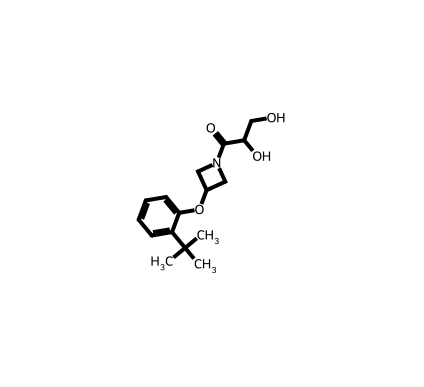 CC(C)(C)c1ccccc1OC1CN(C(=O)C(O)CO)C1